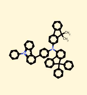 CC1(C)c2ccccc2-c2ccc(N(c3ccc(-c4cccc5c4c4ccccc4n5-c4ccccc4)cc3)c3cccc4c3-c3ccccc3C4(c3ccccc3)c3ccccc3)cc21